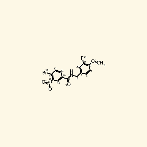 COc1ccc(CNC(=O)c2ccc(Br)c([N+](=O)[O-])c2)cc1F